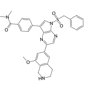 COc1cc(-c2cnc3c(n2)c(-c2ccc(C(=O)N(C)C)cc2)cn3S(=O)(=O)Cc2ccccc2)cc2c1CNCC2